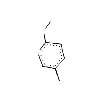 CCSc1ccc(C(C)C)cn1